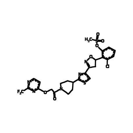 CS(=O)(=O)Oc1cccc(Cl)c1C1CC(c2csc(C3CCN(C(=O)COc4ccnc(C(F)(F)F)n4)CC3)n2)=NO1